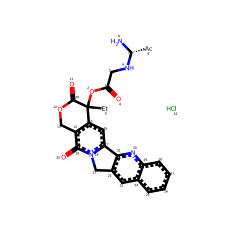 CCC1(OC(=O)CN[C@H](N)C(C)=O)C(=O)OCc2c1cc1n(c2=O)Cc2cc3ccccc3nc2-1.Cl